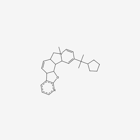 CC(C)(C1=CC2C3C(C=CC4c5cccnc5OC43)C[N+]2(C)C=C1)C1CCCC1